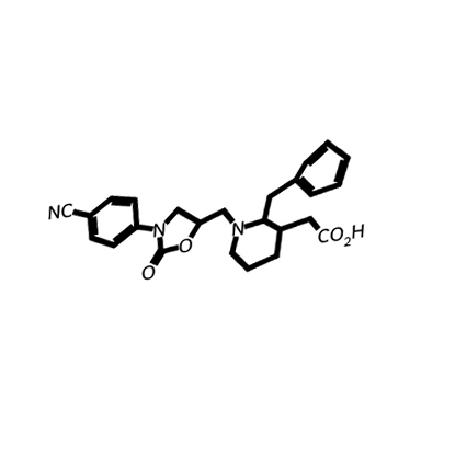 N#Cc1ccc(N2CC(CN3CCCC(CC(=O)O)C3Cc3ccccc3)OC2=O)cc1